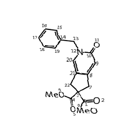 COC(=O)C1(C(=O)OC)Cc2cc(=O)n(Cc3ccccc3)cc2C1